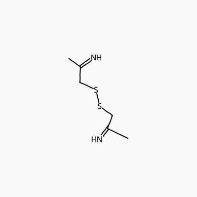 CC(=N)CSSCC(C)=N